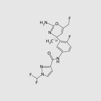 C[C@@]1(c2cc(NC(=O)c3ccn(C(F)F)n3)ccc2F)C=C(CF)OC(N)=N1